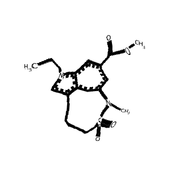 CCn1cc2c3c(cc(C(=O)OC)cc31)N(C)S(=O)(=O)CC2